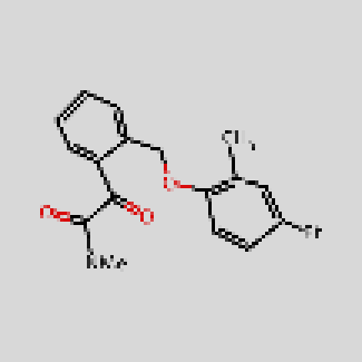 CCc1ccc(OCc2ccccc2C(=O)C(=O)NC)c(C)c1